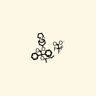 CCSC(C)OC(C(=O)OC1CC2CCC(C1)[N+]21CCCC1)(c1ccccc1)c1ccccc1.O=C([O-])C(F)(F)F